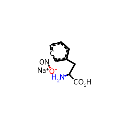 NC(Cc1ccccc1)C(=O)O.O=N[O-].[Na+]